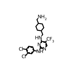 NCC1CCC(CNc2nc(Nc3ccc(Cl)c(Cl)c3)ncc2C(F)(F)F)CC1